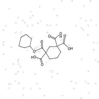 O=C(O)C1(C(=O)O)CCCC(C(=O)O)(C(=O)OC2CCCCC2)C1